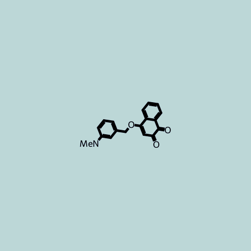 CNc1cccc(COC2=CC(=O)C(=O)c3ccccc32)c1